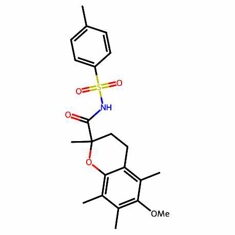 COc1c(C)c(C)c2c(c1C)CCC(C)(C(=O)NS(=O)(=O)c1ccc(C)cc1)O2